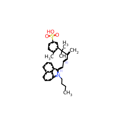 C=C(/C=C/C=c1\c2cccc3cccc(c32)n1CCCC)C(C)(C)c1cc(S(=O)(=O)O)ccc1C